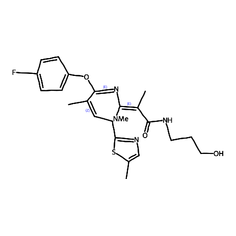 CNC(/N=C(Oc1ccc(F)cc1)\C(C)=C/Cc1ncc(C)s1)=C(/C)C(=O)NCCCO